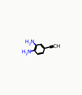 C#Cc1ccc(N)c(N)c1